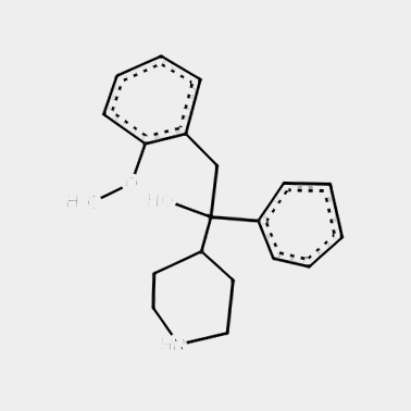 COc1ccccc1CC(O)(c1ccccc1)C1CCNCC1